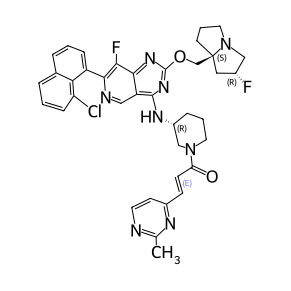 Cc1nccc(/C=C/C(=O)N2CCC[C@@H](Nc3nc(OC[C@@]45CCCN4C[C@H](F)C5)nc4c(F)c(-c5cccc6cccc(Cl)c56)ncc34)C2)n1